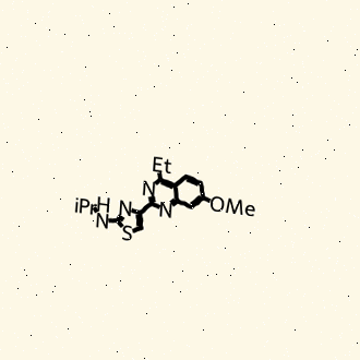 CCc1nc(-c2csc(NC(C)C)n2)nc2cc(OC)ccc12